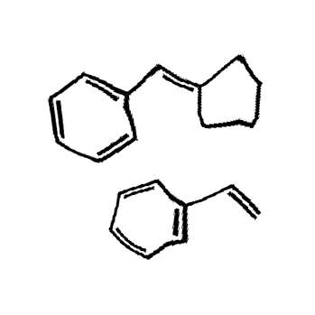 C(=C1CCCC1)c1ccccc1.C=Cc1ccccc1